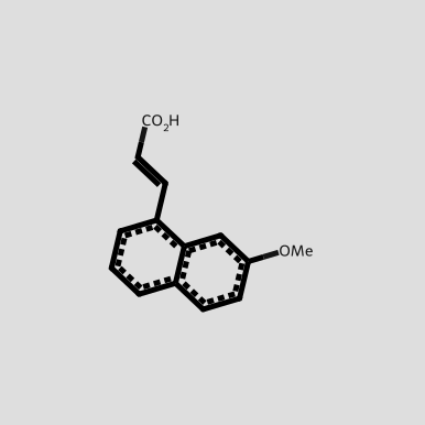 COc1ccc2cccc(/C=C/C(=O)O)c2c1